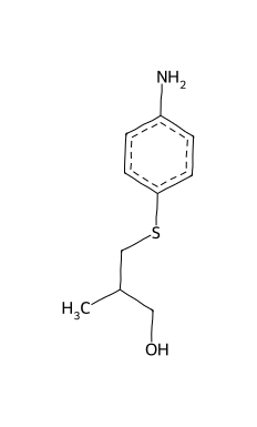 CC(CO)CSc1ccc(N)cc1